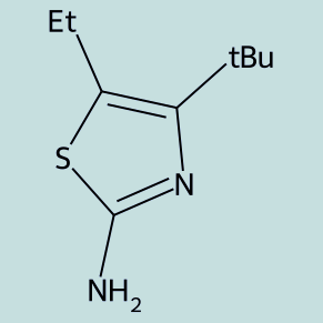 CCc1sc(N)nc1C(C)(C)C